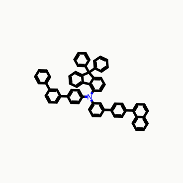 c1ccc(-c2cccc(-c3ccc(N(c4cccc(-c5ccc(-c6cccc7ccccc67)cc5)c4)c4cccc5c4-c4ccccc4C5(c4ccccc4)c4ccccc4)cc3)c2)cc1